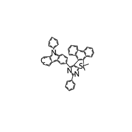 C[Si]1(C)c2nc(-c3ccccc3)nc(-c3ccc4c(c3)c3ccccc3n4-c3ccccc3)c2-c2c1c1ccccc1c1ccccc21